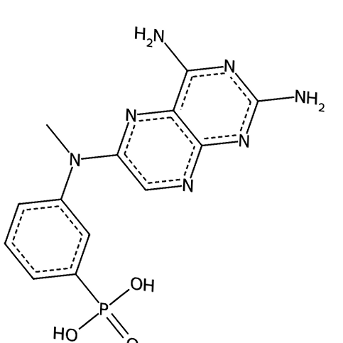 CN(c1cccc(P(=O)(O)O)c1)c1cnc2nc(N)nc(N)c2n1